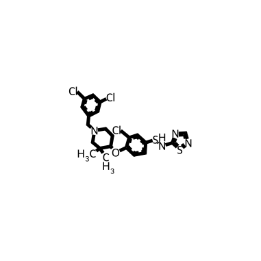 CC1(C)CN(Cc2cc(Cl)cc(Cl)c2)CCC1Oc1ccc(SNc2ncns2)cc1Cl